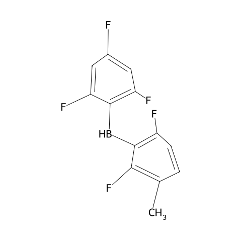 Cc1ccc(F)c(Bc2c(F)cc(F)cc2F)c1F